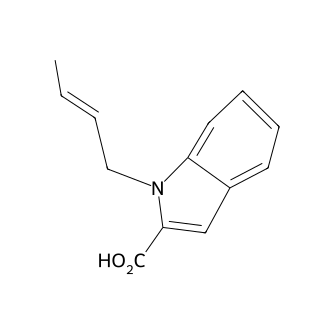 CC=CCn1c(C(=O)O)cc2ccccc21